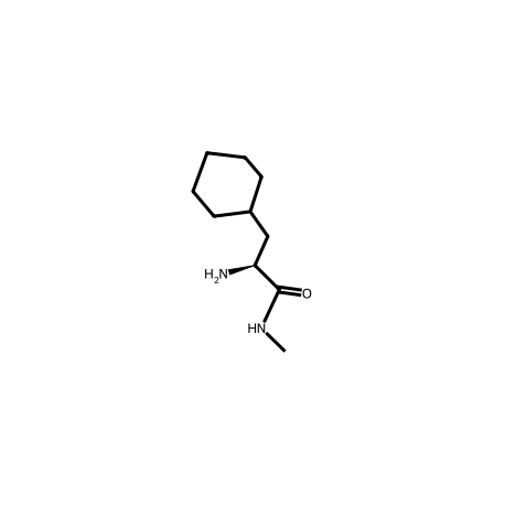 CNC(=O)[C@@H](N)CC1CCCCC1